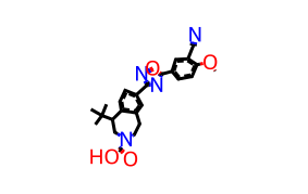 COc1ccc(-c2nc(-c3ccc4c(c3)CCN(C(=O)O)CC4C(C)(C)C)no2)cc1C#N